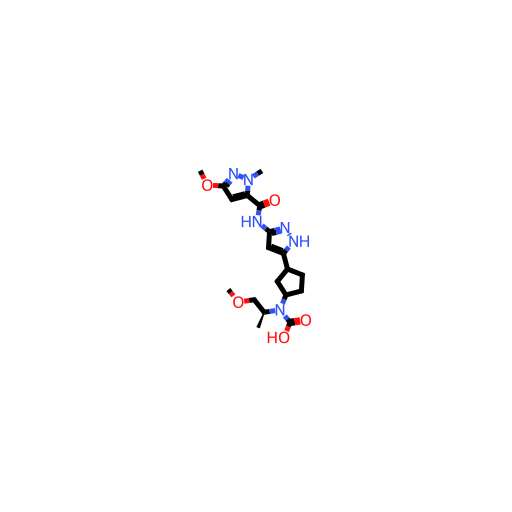 COC[C@H](C)N(C(=O)O)C1CCC(c2cc(NC(=O)c3cc(OC)nn3C)n[nH]2)C1